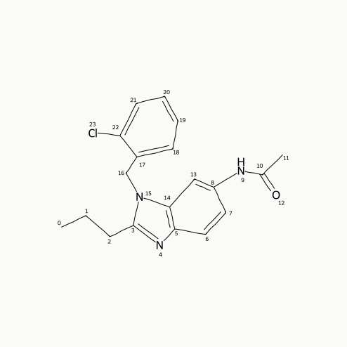 CCCc1nc2ccc(NC(C)=O)cc2n1Cc1ccccc1Cl